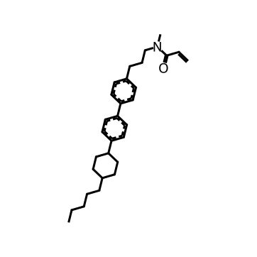 C=CC(=O)N(C)CCCc1ccc(-c2ccc(C3CCC(CCCCC)CC3)cc2)cc1